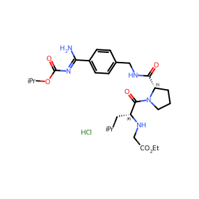 CCOC(=O)CN[C@H](CC(C)C)C(=O)N1CCC[C@H]1C(=O)NCc1ccc(C(N)=NC(=O)OC(C)C)cc1.Cl